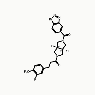 O=C(CCc1ccc(C(F)(F)F)c(F)c1)N1C[C@@H]2CN(C(=O)c3ccc4[nH]nnc4c3)C[C@H]2C1